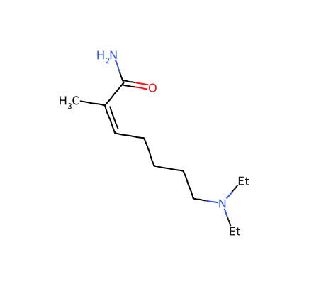 CCN(CC)CCCCC=C(C)C(N)=O